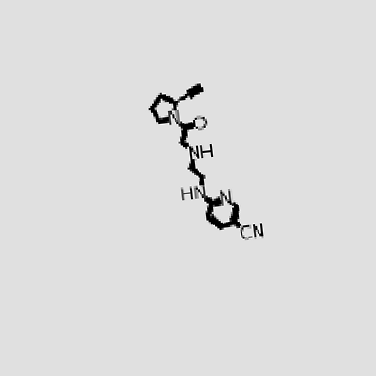 C#C[C@@H]1CCCN1C(=O)CNCCNc1ccc(C#N)cn1